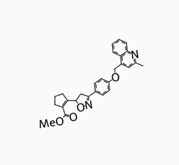 COC(=O)C1=C(C2CC(c3ccc(OCc4cc(C)nc5ccccc45)cc3)=NO2)CCC1